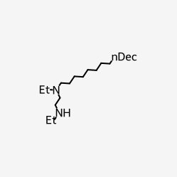 CCCCCCCCCCCCCCCCCCN(CC)CCNCC